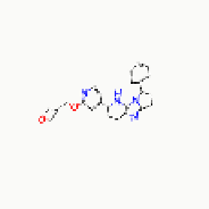 c1ccc(C2CCc3nc4c(n32)N[C@@H](c2ccnc(OCC3COC3)c2)CC4)cc1